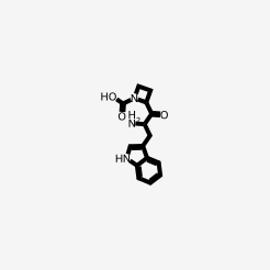 NC(Cc1c[nH]c2ccccc12)C(=O)C1CCN1C(=O)O